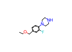 CCOCc1ccc(N2CCNCC2)c(F)c1